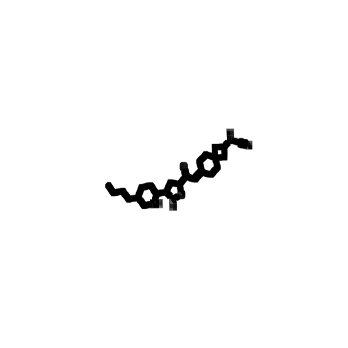 CCCCC1CCC(C2CC(C(=O)C=C3CCC4(CC3)CC(NC#N)C4)ON2)NC1